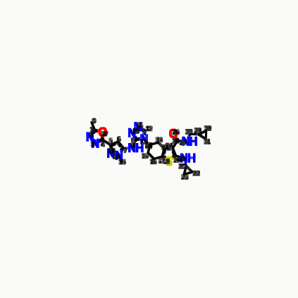 Cc1nnc(-c2cc(Nc3nncn3[C@H]3CCc4sc(NC5CC5)c(C(=O)NCC5CC5)c4C3)n(C)n2)o1